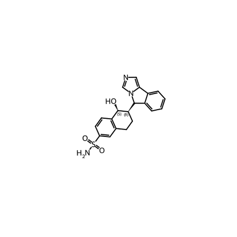 NS(=O)(=O)c1ccc2c(c1)CC[C@H](C1c3ccccc3-c3cncn31)[C@@H]2O